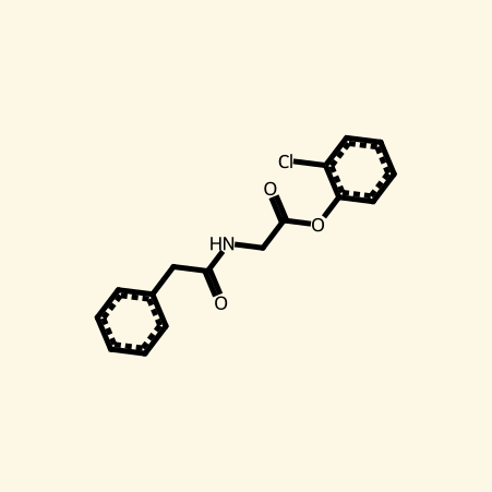 O=C(Cc1ccccc1)NCC(=O)Oc1ccccc1Cl